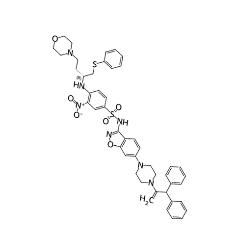 C=C(C(c1ccccc1)c1ccccc1)N1CCN(c2ccc3c(NS(=O)(=O)c4ccc(N[C@H](CCN5CCOCC5)CSc5ccccc5)c([N+](=O)[O-])c4)noc3c2)CC1